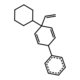 C=CC1(C2CCCCC2)C=CC(c2ccccc2)C=C1